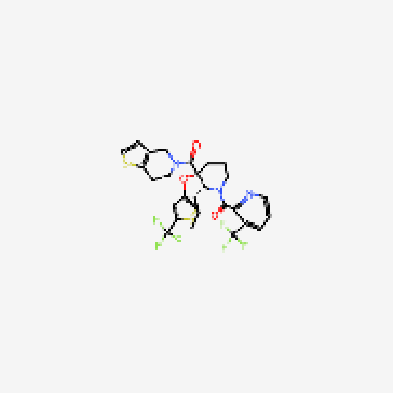 CCC[C@H]1N(C(=O)c2ncccc2C(F)(F)F)CCC[C@@]1(Oc1csc(C(F)(F)F)c1)C(=O)N1CCc2sccc2C1